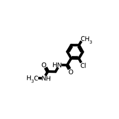 CNC(=O)CNC(=O)c1ccc(C)cc1Cl